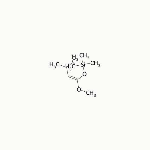 COC(=CC(C)C)O[Si](C)(C)C